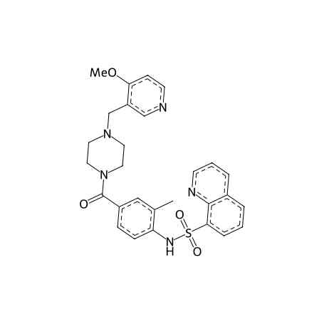 COc1ccncc1CN1CCN(C(=O)c2ccc(NS(=O)(=O)c3cccc4cccnc34)c(C)c2)CC1